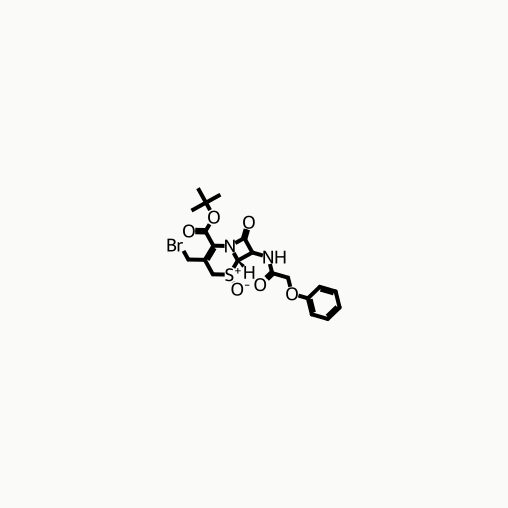 CC(C)(C)OC(=O)C1=C(CBr)C[S+]([O-])[C@H]2C(NC(=O)COc3ccccc3)C(=O)N12